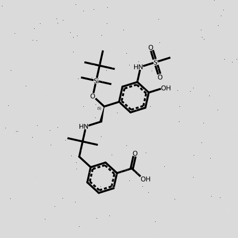 CC(C)(Cc1cccc(C(=O)O)c1)NC[C@@H](O[Si](C)(C)C(C)(C)C)c1ccc(O)c(NS(C)(=O)=O)c1